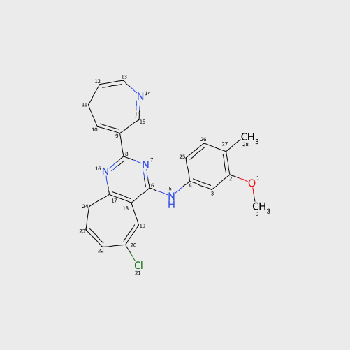 COc1cc(Nc2nc(C3=CCC=CN=C3)nc3c2C=C(Cl)C=CC3)ccc1C